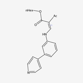 CCCCCCOC(=O)/C(=C\Nc1cccc(-c2ccncc2)c1)C(C)=O